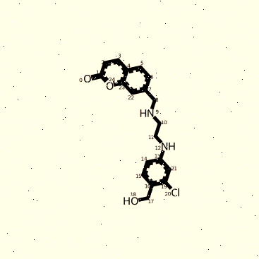 O=c1ccc2ccc(CNCCNc3ccc(CO)c(Cl)c3)cc2o1